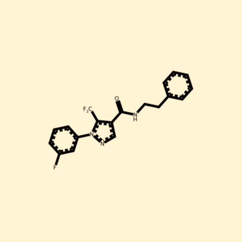 O=C(NCCc1ccccc1)c1cnn(-c2cccc(F)c2)c1C(F)(F)F